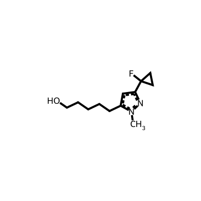 Cn1nc(C2(F)CC2)cc1CCCCCO